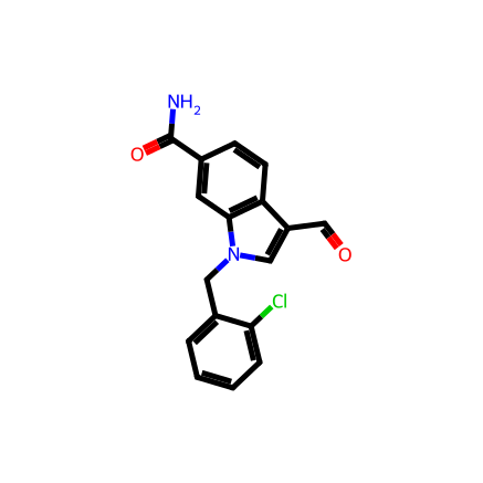 NC(=O)c1ccc2c(C=O)cn(Cc3ccccc3Cl)c2c1